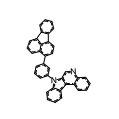 c1cc(-c2ccc3c4c(cccc24)-c2ccccc2-3)cc(-n2c3ccccc3c3c4ccccc4ncc32)c1